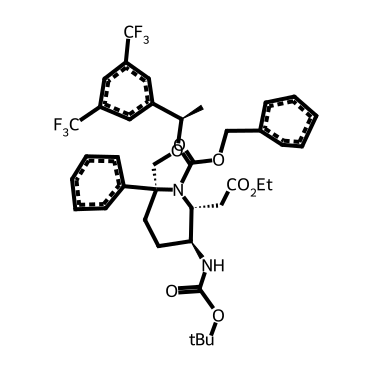 CCOC(=O)C[C@@H]1[C@@H](NC(=O)OC(C)(C)C)CC[C@@](CO[C@H](C)c2cc(C(F)(F)F)cc(C(F)(F)F)c2)(c2ccccc2)N1C(=O)OCc1ccccc1